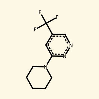 FC(F)(F)c1cnnc(N2CCCCC2)c1